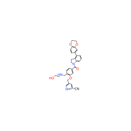 N#Cc1cncc(COc2cc(C(=O)N3CCc4c(-c5ccc6c(c5)OCCO6)cccc43)ccc2CNCCO)c1